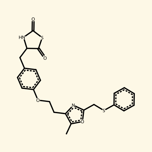 Cc1oc(CSc2ccccc2)nc1CCOc1ccc(CC2NC(=O)SC2=O)cc1